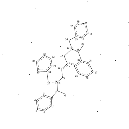 CC(c1ccccc1)N(CC=CCN(Cc1ccccc1)C(C)c1ccccc1)Cc1ccccc1